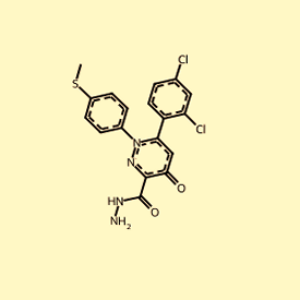 CSc1ccc(-n2nc(C(=O)NN)c(=O)cc2-c2ccc(Cl)cc2Cl)cc1